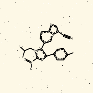 N#Cc1cnc2ccc(-c3c(-c4ccc(F)cc4)nc([N+](=O)[O-])n3CC(F)F)cn12